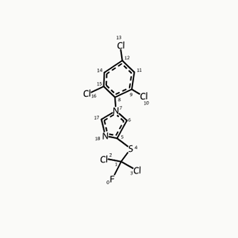 FC(Cl)(Cl)Sc1cn(-c2c(Cl)cc(Cl)cc2Cl)cn1